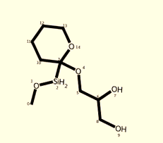 CO[SiH2]C1(OCC(O)CO)CCCCO1